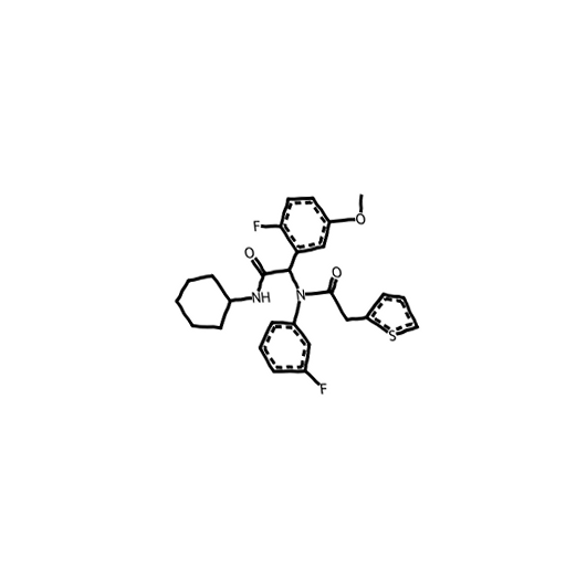 COc1ccc(F)c(C(C(=O)NC2CCCCC2)N(C(=O)Cc2cccs2)c2cccc(F)c2)c1